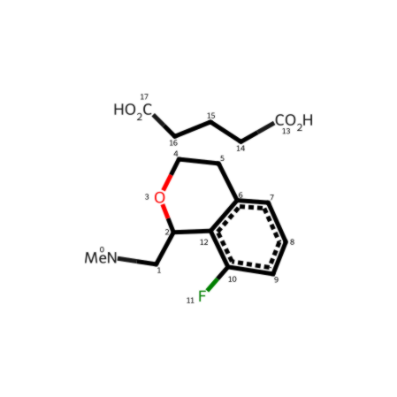 CNCC1OCCc2cccc(F)c21.O=C(O)CCCC(=O)O